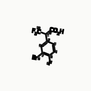 O=C(O)C(c1ccc(F)c(Br)c1)C(F)(F)F